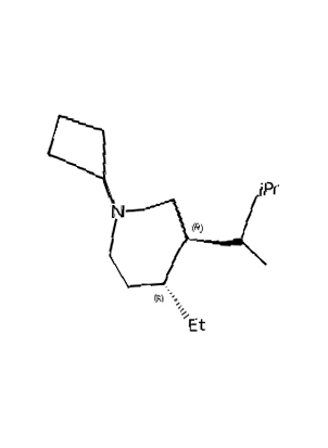 CC[C@@H]1CCN(C2CCC2)C[C@H]1C(C)C(C)C